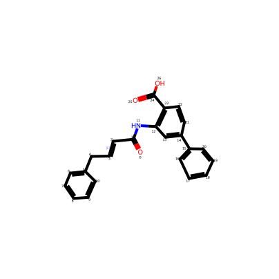 O=C(/C=C/Cc1ccccc1)Nc1cc(-c2ccccc2)ccc1C(=O)O